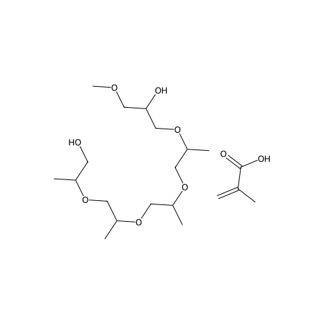 C=C(C)C(=O)O.COCC(O)COC(C)COC(C)COC(C)COC(C)CO